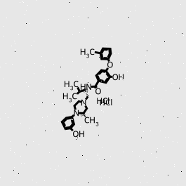 Cc1cccc(Oc2ccc(C(=O)N[C@H](CN3CCN(c4cccc(O)c4)[C@@H](C)C3)C(C)C)cc2O)c1.Cl.Cl